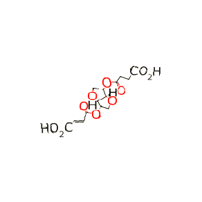 O=C(O)C=CC(=O)O[C@H]1CO[C@H]2[C@@H]1OC[C@H]2OC(=O)CCC(=O)O